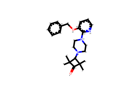 CC1(C)C(=O)C(C)(C)C1N1CCN(c2ncccc2OCc2ccccc2)CC1